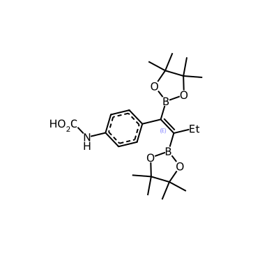 CC/C(B1OC(C)(C)C(C)(C)O1)=C(\B1OC(C)(C)C(C)(C)O1)c1ccc(NC(=O)O)cc1